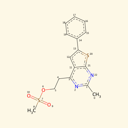 Cc1nc(CCOS(C)(=O)=O)c2cc(-c3ccccc3)sc2n1